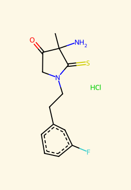 CC1(N)C(=O)CN(CCc2cccc(F)c2)C1=S.Cl